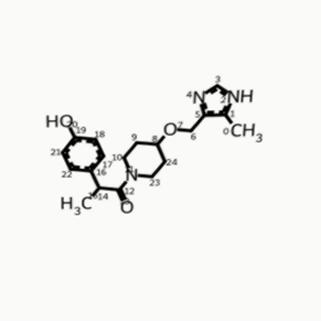 Cc1[nH]cnc1COC1CCN(C(=O)C(C)c2ccc(O)cc2)CC1